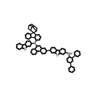 c1ccc(-c2ccc(Nc3ccc4c(c3)oc3cc(-c5ccc6c(c5)cc(N(c5ccc7c(c5)oc5ccccc57)c5cccc7c5-c5ccccc5C75C7CC8CC(C7)CC5C8)c5ccccc56)ccc34)c(-c3ccccc3)c2)cc1